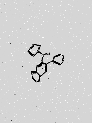 CCN(c1ccccc1)c1cc2ccccc2cc1-c1ccccc1